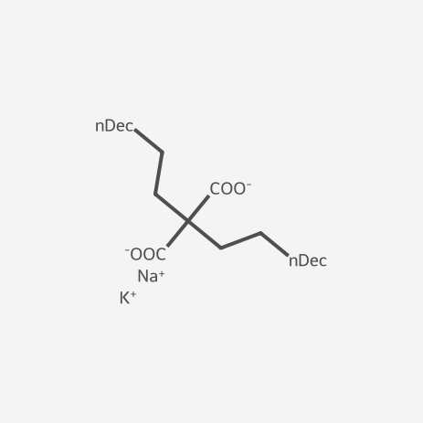 CCCCCCCCCCCCC(CCCCCCCCCCCC)(C(=O)[O-])C(=O)[O-].[K+].[Na+]